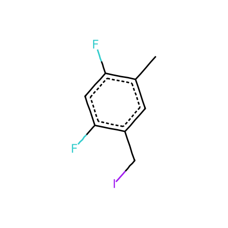 Cc1cc(CI)c(F)cc1F